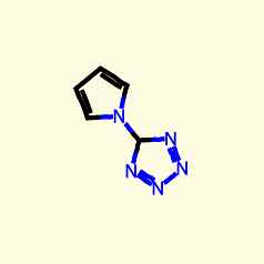 c1ccn(C2N=NN=N2)c1